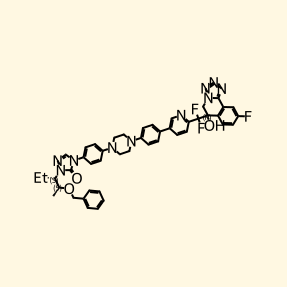 CC[C@@H]([C@H](C)OCc1ccccc1)n1ncn(-c2ccc(N3CCN(c4ccc(-c5ccc(C(F)(F)[C@]6(O)Cn7nnnc7-c7cc(F)ccc76)nc5)cc4)CC3)cc2)c1=O